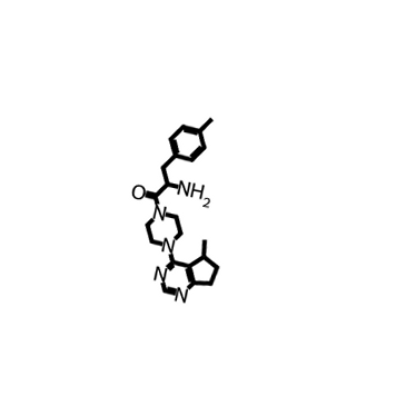 Cc1ccc(CC(N)C(=O)N2CCN(c3ncnc4c3C(C)CC4)CC2)cc1